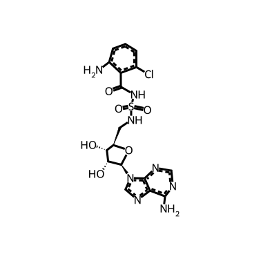 Nc1cccc(Cl)c1C(=O)NS(=O)(=O)NC[C@H]1O[C@@H](n2cnc3c(N)ncnc32)[C@H](O)[C@@H]1O